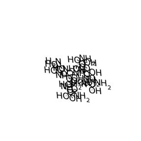 NC[C@@H]1O[C@H](O[C@H]2[C@@H](O)[C@H](O[C@@H]3[C@@H](O)[C@H](N)C[C@H](N)[C@H]3O[C@H]3O[C@H](CN)[C@@H](O)[C@H](O)[C@H]3N)O[C@@H]2CO)[C@H](N)[C@@H](O)[C@@H]1O.NC[C@H]1O[C@H](O[C@H]2[C@H](O)[C@@H](O[C@H]3O[C@H](CO)[C@@H](O)[C@H](N)[C@H]3O)[C@H](N)C[C@@H]2N)[C@H](N)C[C@@H]1O